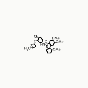 COc1cc(-c2ccccc2OC)c(S(=O)(=O)Nc2ccc(Cl)c(O[C@@H]3CCN(C)C3)c2)cc1OC